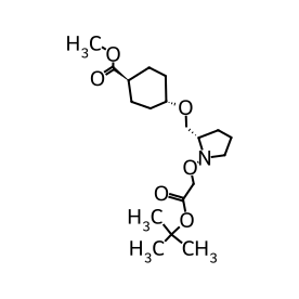 COC(=O)[C@H]1CC[C@H](OC[C@@H]2CCCN2OCC(=O)OC(C)(C)C)CC1